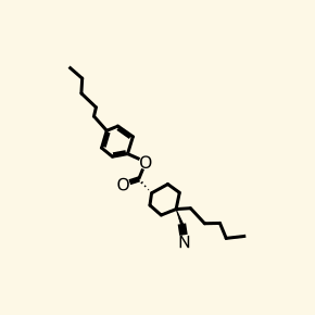 CCCCCc1ccc(OC(=O)[C@H]2CC[C@@](C#N)(CCCCC)CC2)cc1